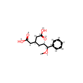 COC(CCC(CC(=O)O)CC(=O)O)c1ccccc1